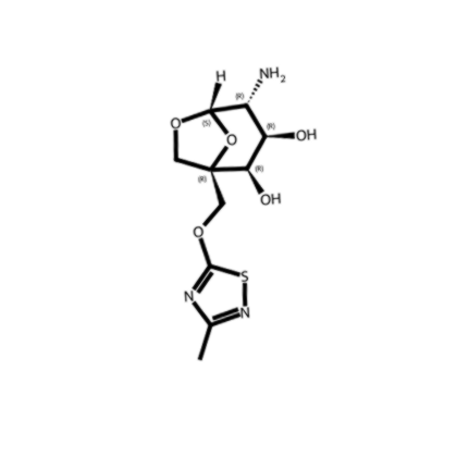 Cc1nsc(OC[C@@]23CO[C@@H](O2)[C@H](N)[C@@H](O)[C@H]3O)n1